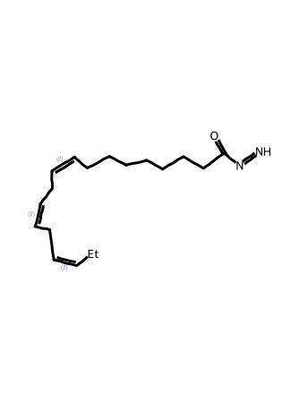 CC/C=C\C/C=C\C/C=C\CCCCCCCC(=O)N=N